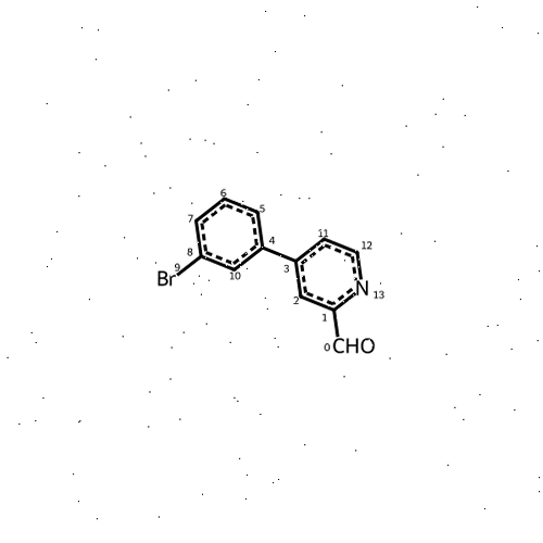 O=Cc1cc(-c2cccc(Br)c2)ccn1